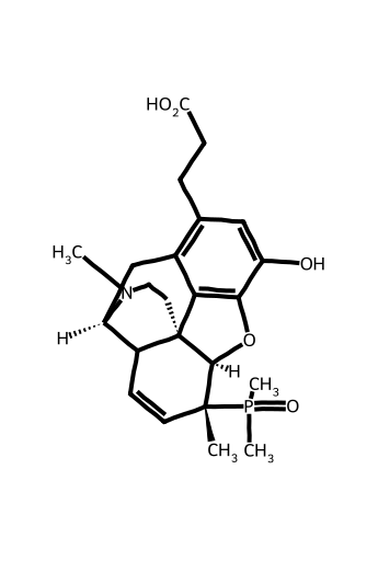 CN1CC[C@]23c4c5c(CCC(=O)O)cc(O)c4O[C@H]2[C@](C)(P(C)(C)=O)C=CC3[C@H]1C5